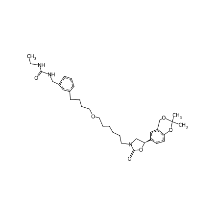 CCNC(=O)NCc1cccc(CCCCOCCCCCCN2C[C@@H](c3ccc4c(c3)COC(C)(C)O4)OC2=O)c1